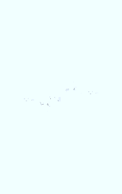 COC[C@H]1OCC[C@H]1CCNC(=O)[C@H]1OCC[C@H]1OC